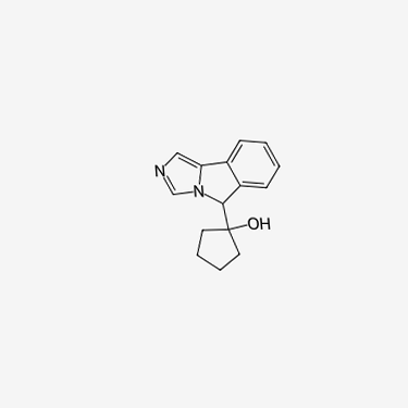 OC1(C2c3ccccc3-c3cncn32)CCCC1